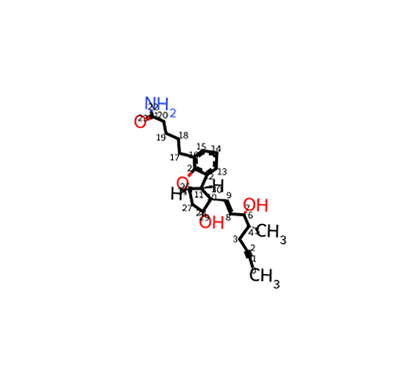 CC#CC[C@@H](C)[C@H](O)C=C[C@@H]1[C@H]2c3cccc(CCCCC(N)=O)c3O[C@H]2C[C@H]1O